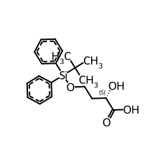 CC(C)(C)[Si](OCC[C@H](O)C(=O)O)(c1ccccc1)c1ccccc1